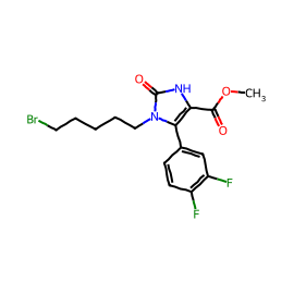 COC(=O)c1[nH]c(=O)n(CCCCCBr)c1-c1ccc(F)c(F)c1